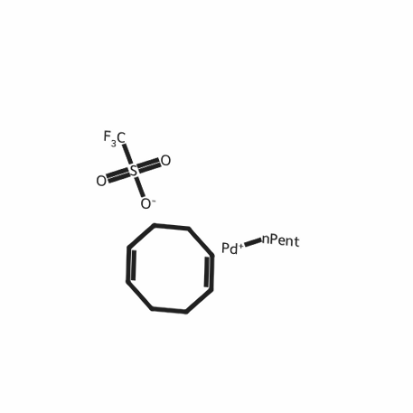 C1=C\CC/C=C\CC/1.CCCC[CH2][Pd+].O=S(=O)([O-])C(F)(F)F